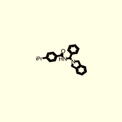 CC(C)c1ccc(C(=O)NC(c2ccccc2)N2Cc3ccccc3C2)cc1